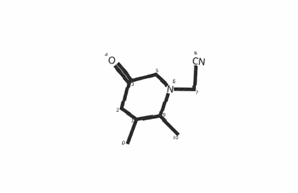 CC1CC(=O)CN(CC#N)C1C